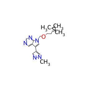 Cn1cc(-c2cn(COCC[Si](C)(C)C)c3ncncc23)cn1